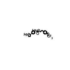 O=C(Nc1ccc([C@H]2CCNC2)cc1)OCCc1ccc(OC(F)(F)F)cc1